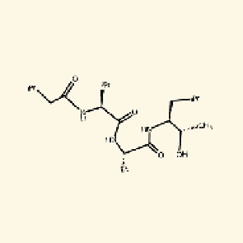 CC[C@H](NC(=O)[C@@H](NC(=O)CC(C)C)C(C)C)C(=O)N[C@@H](CC(C)C)[C@H](C)O